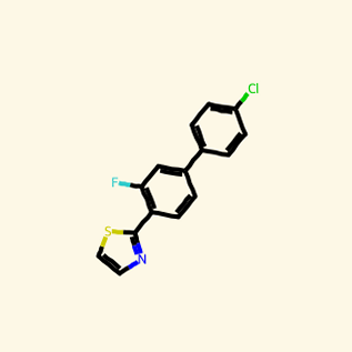 Fc1cc(-c2ccc(Cl)cc2)ccc1-c1nccs1